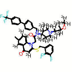 [2H]c1c(C)c([2H])c2c(=O)c([2H])c(SCc3cccc(F)c3F)n(CC(=O)N(Cc3ccc(-c4ccc(C(F)(F)F)cc4)cc3)C3([2H])C([2H])([2H])C([2H])([2H])N(C([2H])([2H])C([2H])([2H])OC([2H])([2H])[2H])C([2H])([2H])C3([2H])[2H])c2c1[2H]